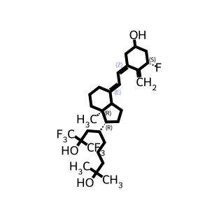 C=C1/C(=C\C=C2/CCC[C@@]3(C)C2CC[C@@H]3C(CCCC(C)(C)O)CC(O)(C(F)(F)F)C(F)(F)F)CC(O)C[C@@H]1F